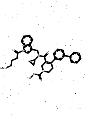 COCCCC(=O)n1cc(CN(C(=O)C2=C(c3cccc(-c4ccccc4)c3)CCN(C(=O)OC(C)(C)C)C2)C2CC2)c2ccccc21